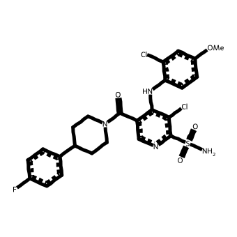 COc1ccc(Nc2c(C(=O)N3CCC(c4ccc(F)cc4)CC3)cnc(S(N)(=O)=O)c2Cl)c(Cl)c1